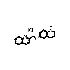 Cl.c1ccc2nc(COc3ccc4c(c3)CCCN4)ccc2c1